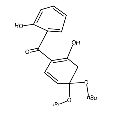 CCCCOC1(OC(C)C)C=CC(C(=O)c2ccccc2O)=C(O)C1